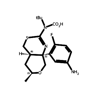 C[C@H]1C[C@H]2CSC(N(C(=O)O)C(C)(C)C)=N[C@@]2(c2cc(N)ccc2F)CO1